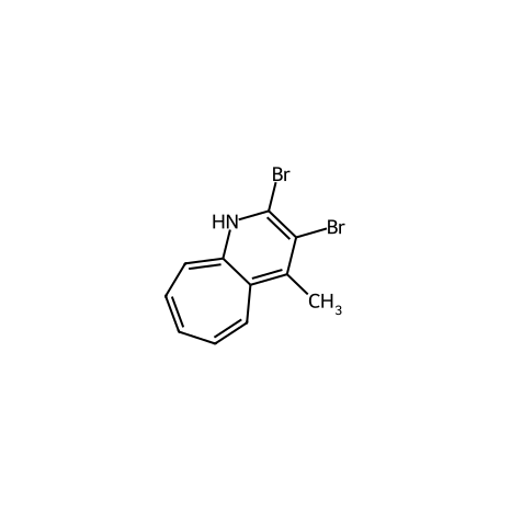 CC1=C2C=CC=CC=C2NC(Br)=C1Br